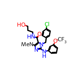 CNc1nc(Nc2cccc(OC(F)(F)F)c2)n(Cc2ccc(Cl)cc2)c1C(=O)NCCCO